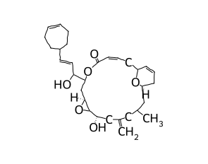 C=C1CC(C)C[C@@H]2CC=CC(C/C=C\C(=O)OC(C(O)/C=C/C3CCC=CCC3)C[C@@H]3OC3[C@@H](O)C1)O2